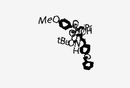 COc1ccc(S(=O)(=O)N(CC(C)C)C[C@H](O)C(Cc2ccc(OCc3ccccc3)cc2)NC(=O)OC(C)(C)C)cc1